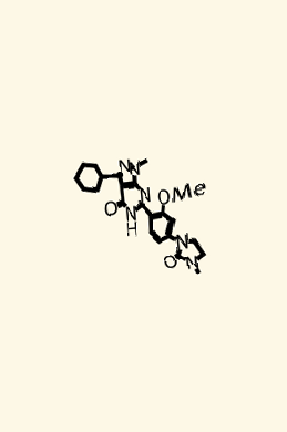 COc1cc(N2CCN(C)C2=O)ccc1-c1nc2c(c(C3CCCCC3)nn2C)c(=O)[nH]1